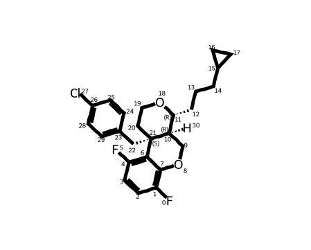 Fc1ccc(F)c2c1OC[C@@H]1[C@@H](CCCC3CC3)OCC[C@]21Cc1ccc(Cl)cc1